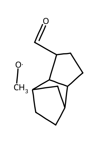 C[O].O=CC1CCC2C3CCC(C3)C12